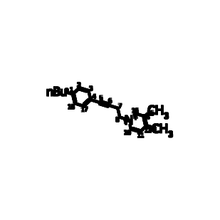 CCCCc1ccc(C#CCC[n+]2ccc(C)c(C)c2)cc1